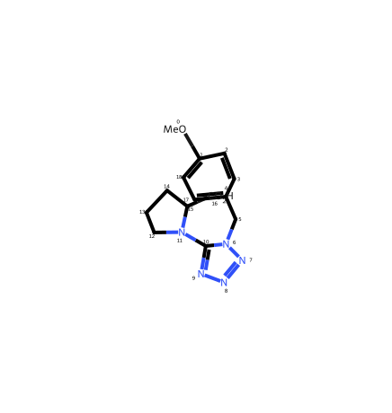 COc1ccc(Cn2nnnc2N2CCCC2C(=O)O)cc1